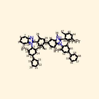 Cc1cc(-c2nc3ccccc3n2-c2c(C(C)C)cc(-c3ccccc3)cc2C(C)C)c(C)cc1-c1ccc2c(c1)[n+](C)c(-c1cc(C(C)C)ccc1C)n2-c1c(C(C)C)cc(-c2ccccc2)cc1C(C)C